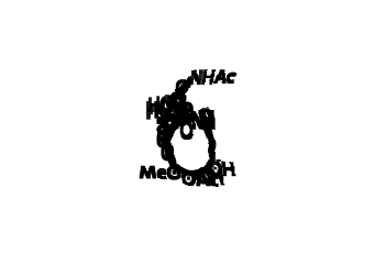 CO[C@H]1/C=C/O[C@@]2(C)Oc3c(C)c(O)c4c(=O)c(c5oc6cc(OCCNC(C)=O)cc(O)c6nc-5c4c3C2=O)NC(=O)/C(C)=C\C=C\[C@H](C)[C@H](O)[C@@H](C)[C@@H](O)[C@@H](C)[C@H](OC(C)=O)[C@@H]1C